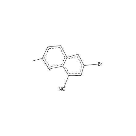 Cc1ccc2cc(Br)cc(C#N)c2n1